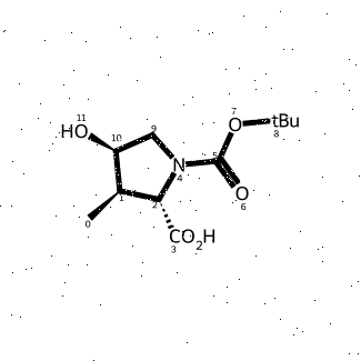 C[C@@H]1[C@@H](C(=O)O)N(C(=O)OC(C)(C)C)C[C@@H]1O